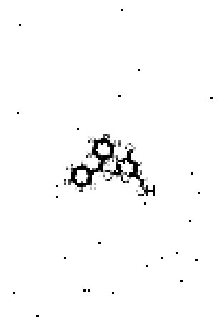 O=c1cc(CO)oc(OC(c2ccccc2)c2ccccc2)c1